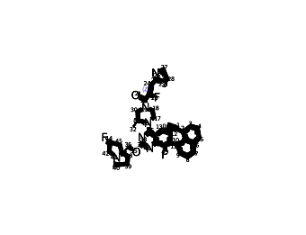 C#Cc1cccc2cccc(-c3ccc4c(N5CCN(C(=O)/C(F)=C/c6nccs6)C[C@@H]5C)nc(OC[C@@]56CCCN5C[C@H](F)C6)nc4c3F)c12